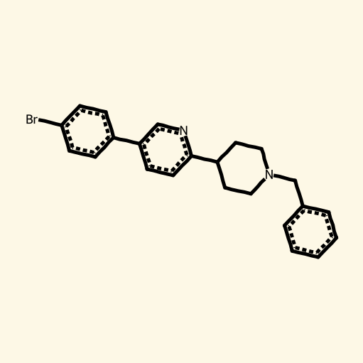 Brc1ccc(-c2ccc(C3CCN(Cc4ccccc4)CC3)nc2)cc1